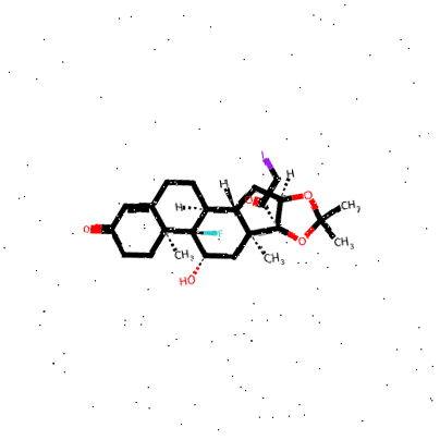 CC1(C)O[C@@H]2C[C@H]3[C@@H]4CCC5=CC(=O)CC[C@]5(C)[C@@]4(F)[C@@H](O)C[C@]3(C)[C@]2(C(=O)CI)O1